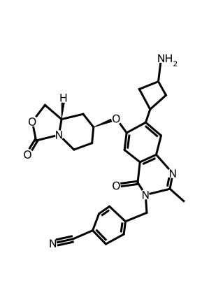 Cc1nc2cc(C3CC(N)C3)c(O[C@H]3CCN4C(=O)OC[C@@H]4C3)cc2c(=O)n1Cc1ccc(C#N)cc1